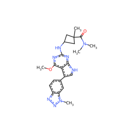 COc1nc(NC2CC(C)(C(=O)N(C)C)C2)nc2[nH]cc(-c3ccc4nnn(C)c4c3)c12